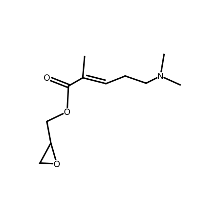 CC(=CCCN(C)C)C(=O)OCC1CO1